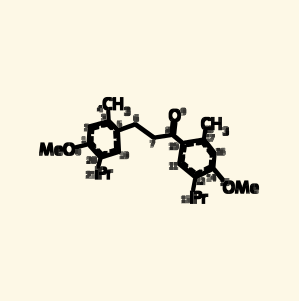 COc1cc(C)c(CCC(=O)c2cc(C(C)C)c(OC)cc2C)cc1C(C)C